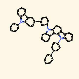 c1ccc(-c2ccc(-n3c4ccccc4c4ccc5c(c6ccccc6n5-c5cccc(-c6ccc7c(c6)c6ccccc6n7-c6ccccc6)c5)c43)cc2)cc1